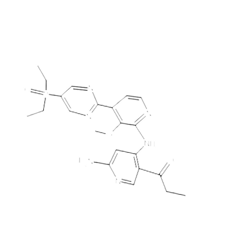 CCC(=O)c1cnc(N)cc1Nc1nccc(-c2ncc(P(=O)(CC)CC)cn2)c1OC